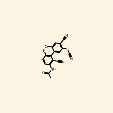 CC(=O)Nc1c[c]c(F)c(-c2cc(SC#N)c(C#N)cc2Cl)c1C#N